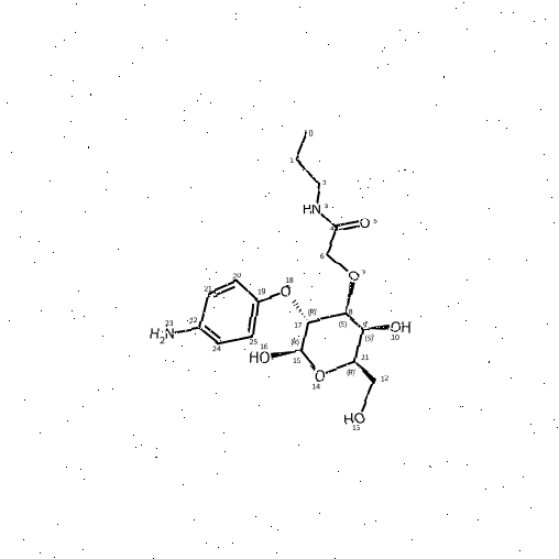 CCCNC(=O)CO[C@H]1[C@@H](O)[C@@H](CO)O[C@@H](O)[C@@H]1Oc1ccc(N)cc1